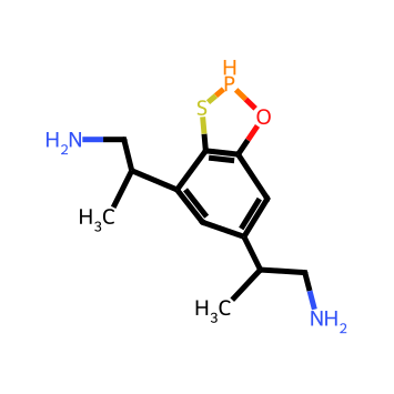 CC(CN)c1cc2c(c(C(C)CN)c1)SPO2